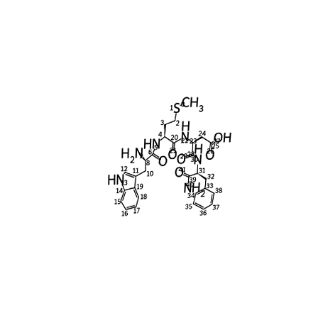 CSCC[C@H](NC(=O)[C@H](N)Cc1c[nH]c2ccccc12)C(=O)N[C@@H](CC(=O)O)C(=O)N[C@@H](Cc1ccccc1)C(N)=O